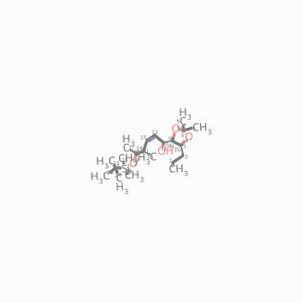 CCC[C@@H]1OC(C)(C)O[C@@H]1C(O)/C=C\[C@@H](C)[C@H](C)O[Si](C)(C)C(C)(C)C